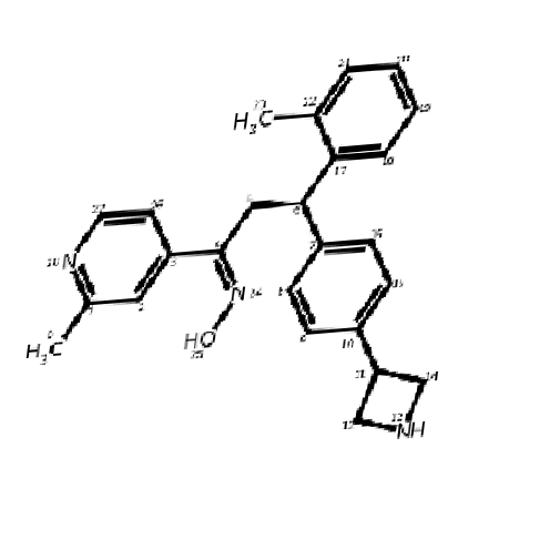 Cc1cc(C(C[C@H](c2ccc(C3CNC3)cc2)c2ccccc2C)=NO)ccn1